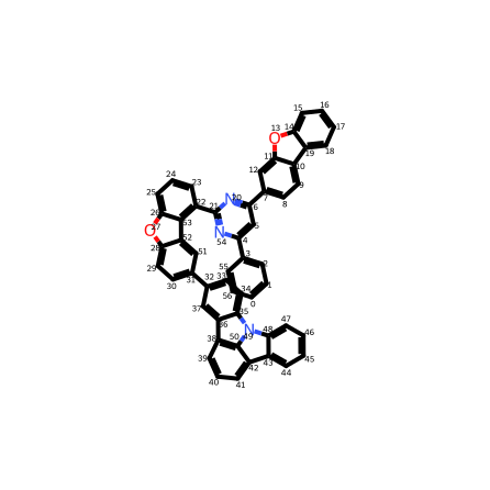 c1ccc(-c2cc(-c3ccc4c(c3)oc3ccccc34)nc(-c3cccc4oc5ccc(-c6ccc7c(c6)c6cccc8c9ccccc9n7c86)cc5c34)n2)cc1